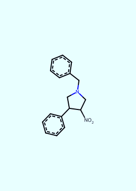 O=[N+]([O-])C1CN(Cc2ccccc2)CC1c1ccccc1